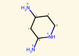 NC1CCNC(N)C1